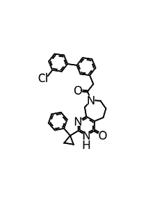 O=C(Cc1cccc(-c2cccc(Cl)c2)c1)N1CCCc2c(nc(C3(c4ccccc4)CC3)[nH]c2=O)C1